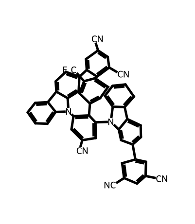 N#Cc1cc(C#N)cc(-c2ccc3c4ccccc4n(-c4cc(C#N)cc(-n5c6ccccc6c6ccc(-c7cc(C#N)cc(C#N)c7)cc65)c4-c4cccc(C(F)(F)F)c4)c3c2)c1